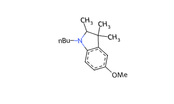 CCCCN1c2ccc(OC)cc2C(C)(C)C1C